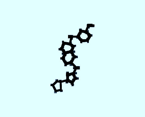 COc1cccc(Nc2cnc3ccc(Nc4nnc(C5CCCC5)s4)nc3c2)c1